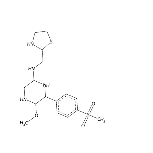 COC1NCC(NCC2NCCS2)NC1c1ccc(S(C)(=O)=O)cc1